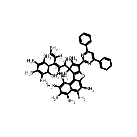 B/C=C(B)/C(=C(/B)C(B)C1(B)C(B)=C(c2nc(C3=CCCC=C3)cc(-c3ccccc3)n2)c2oc3c(B)c(B)c4c(B)c(B)c(B)c(B)c4c3c21)C1C(B)=C(B)C(B)=C(B)C1B